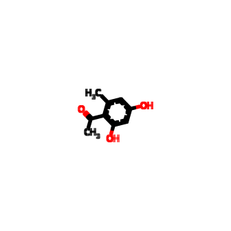 CC(=O)c1c(C)cc(O)cc1O